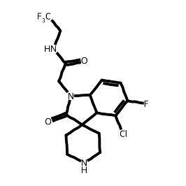 O=C(CN1C(=O)C2(CCNCC2)C2C(Cl)=C(F)C=CC21)NCC(F)(F)F